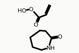 C=CC(=O)OO.O=C1CCCCCN1